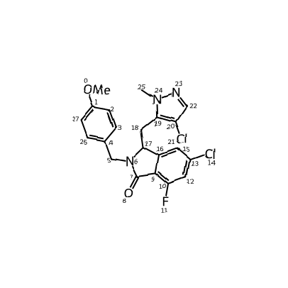 COc1ccc(CN2C(=O)c3c(F)cc(Cl)cc3C2Cc2c(Cl)cnn2C)cc1